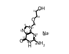 Nc1nc2c(ncn2COCCO)c(=O)[nH]1.[Na]